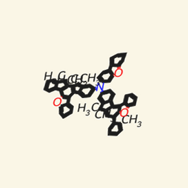 Cc1ccccc1-c1cc2c(c3c1oc1ccccc13)-c1ccc(N(c3ccc4c(c3)C(C)(C)c3c5c(c6oc7ccccc7c6c3-4)-c3ccccc3C5(C)C)c3ccc4c(c3)oc3ccccc34)cc1C2(C)C